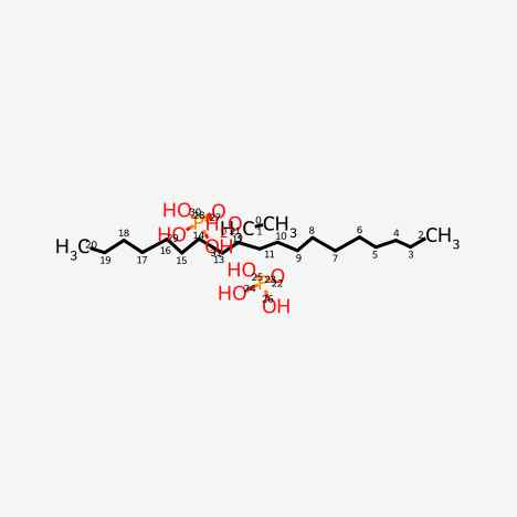 CC.CCCCCCCCCCCCCCCCCCC.O.O=P(O)(O)O.O=P(O)(O)O